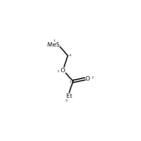 CCC(=O)OCSC